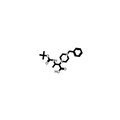 CC(NC(=O)OC(C)(C)C)C(C(=O)O)N1CCN(Cc2ccccc2)CC1